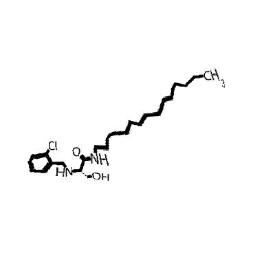 CCCCCCCCCCCCCCNC(=O)[C@H](CO)NCc1ccccc1Cl